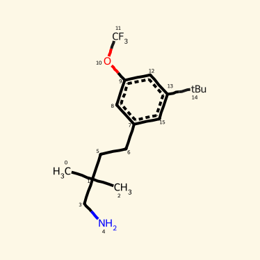 CC(C)(CN)CCc1cc(OC(F)(F)F)cc(C(C)(C)C)c1